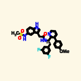 COc1ccc(-c2cccnc2[C@H](Cc2cc(F)cc(F)c2)NC(=O)Cc2c[nH]c3ccc(NS(C)(=O)=O)cc23)cc1